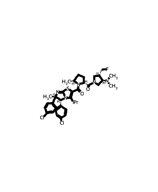 CC(C)C1=C(C(=O)N2[C@H](C)CC[C@@H]2C(=O)N2C[C@H](CF)[C@@H](N(C)C)C2)SC2=N[C@@](C)(c3ccc(Cl)cc3)[C@@H](c3ccc(Cl)cc3)N21